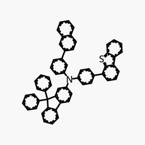 c1ccc(C2(c3ccccc3)c3ccccc3-c3ccc(N(c4ccc(-c5cccc6c5sc5ccccc56)cc4)c4cccc(-c5ccc6ccccc6c5)c4)cc32)cc1